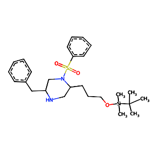 CC(C)(C)[Si](C)(C)OCCCC1CNC(Cc2ccccc2)CN1S(=O)(=O)c1ccccc1